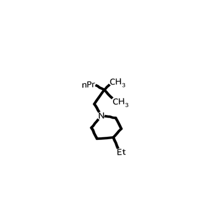 CCCC(C)(C)CN1CCC(CC)CC1